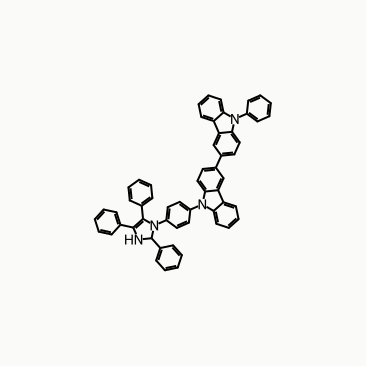 c1ccc(C2=C(c3ccccc3)N(c3ccc(-n4c5ccccc5c5cc(-c6ccc7c(c6)c6ccccc6n7-c6ccccc6)ccc54)cc3)C(c3ccccc3)N2)cc1